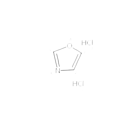 Cl.Cl.c1cocn1